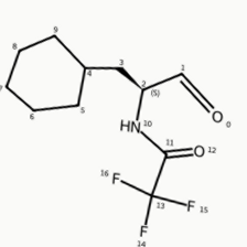 O=C[C@H](CC1CCCCC1)NC(=O)C(F)(F)F